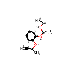 C#CC(C)Oc1ccccc1OC(C)OCC